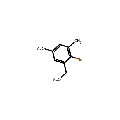 CC(=O)OCc1cc(OC(C)=O)cc(C)c1Br